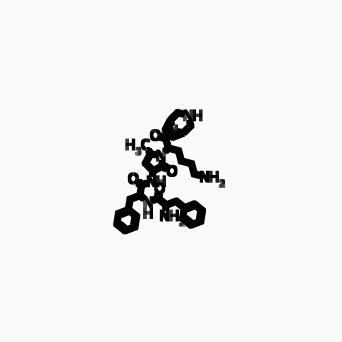 CC1CC(NC(=O)C(Cc2ccccc2)NC(=O)C(N)Cc2ccccc2)C(=O)N1C(CCCCN)C(=O)N1C2CCC1CNC2